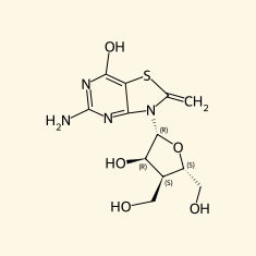 C=C1Sc2c(O)nc(N)nc2N1[C@@H]1O[C@H](CO)[C@@H](CO)[C@H]1O